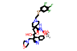 COc1ccc2ncc(CN3CCOCC3)c([C@H](O)CCC3(C(=O)NO)CCN(CCSc4cc(F)c(F)c(F)c4)CC3)c2c1